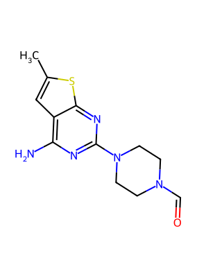 Cc1cc2c(N)nc(N3CCN(C=O)CC3)nc2s1